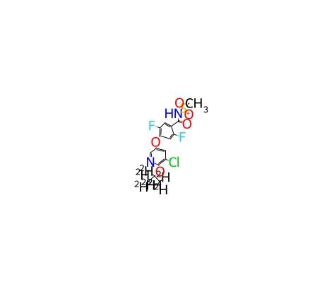 [2H]C([2H])([2H])C([2H])(Oc1ncc(Oc2cc(F)c(C(=O)NS(C)(=O)=O)cc2F)cc1Cl)C([2H])([2H])[2H]